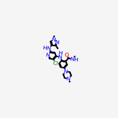 CNC(=O)c1cc(N2CCN(C)CC2)ccc1Nc1cc(Nc2cn(C)nc2C)ncc1Cl